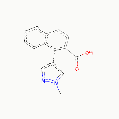 Cn1cc(-c2c(C(=O)O)ccc3ccccc23)cn1